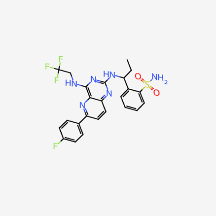 CCC(Nc1nc(NCC(F)(F)F)c2nc(-c3ccc(F)cc3)ccc2n1)c1ccccc1S(N)(=O)=O